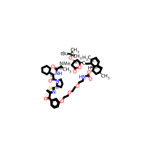 CN[C@@H](C)C(=O)N[C@H](C(=O)N1CCC[C@@H]1c1nc(C(=O)c2cccc(OCCOCCOCCNC(=O)O[C@H]3C[C@@H](C)C=C4C=C[C@H](C)C(CC[C@@H]5C[C@@H](O[Si](C)(C)C(C)(C)C)CC(=O)O5)[C@H]43)c2)cs1)C1CCCCC1